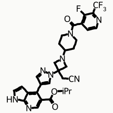 CC(C)OC(=O)c1cnc2[nH]ccc2c1-c1cnn(C2(CC#N)CN(C3CCN(C(=O)c4ccnc(C(F)(F)F)c4F)CC3)C2)c1